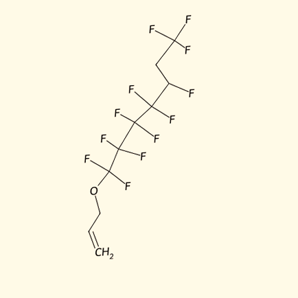 C=CCOC(F)(F)C(F)(F)C(F)(F)C(F)(F)C(F)CC(F)(F)F